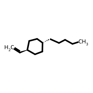 C=C[C@H]1CC[C@H](CCCCC)CC1